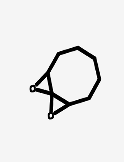 C1CCC2OC23OC3CC1